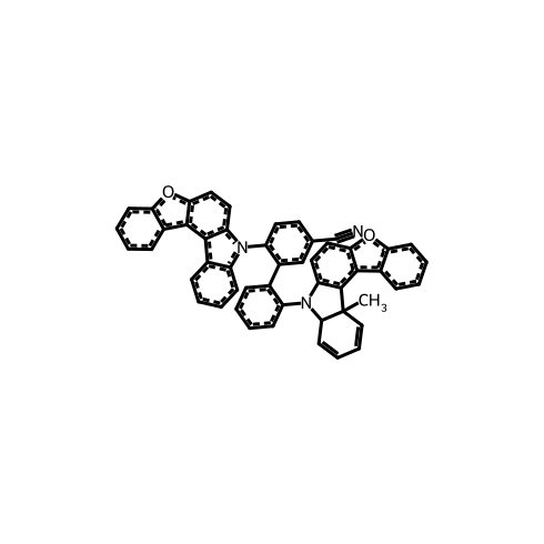 CC12C=CC=CC1N(c1ccccc1-c1cc(C#N)ccc1-n1c3ccccc3c3c4c(ccc31)oc1ccccc14)c1ccc3oc4ccccc4c3c12